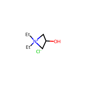 CC[N+]1(CC)CC(O)C1.[Cl-]